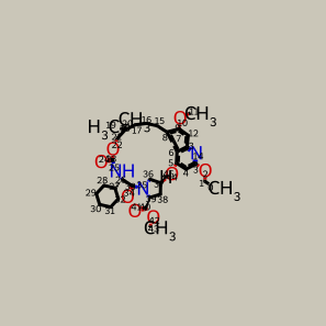 CCOc1cc2c3cc(c(OC)cc3n1)CCCC(C)(C)COC(=O)N[C@@H](C1CCCCC1)C(=O)N1C[C@@H](C[C@H]1C(=O)OC)O2